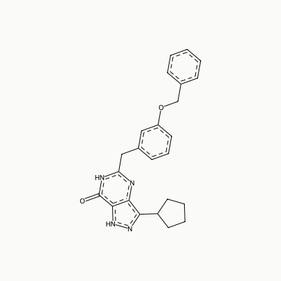 O=c1[nH]c(Cc2cccc(OCc3ccccc3)c2)nc2c(C3CCCC3)n[nH]c12